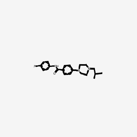 C[C](C)CN1CCN(c2ccc(C(=O)Nc3ccc(F)cc3)cc2)CC1